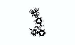 Cn1nnn(-c2ccccc2OCc2ccc(B3OC(C)(C)C(C)(C)O3)cc2)c1=O